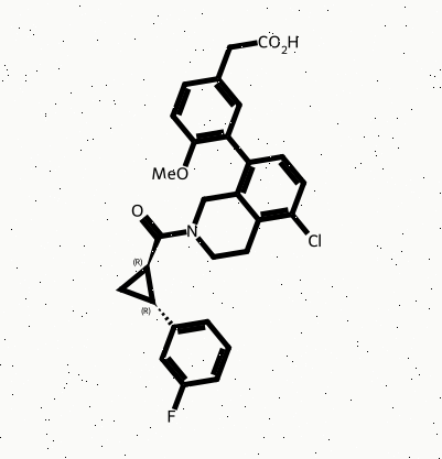 COc1ccc(CC(=O)O)cc1-c1ccc(Cl)c2c1CN(C(=O)[C@@H]1C[C@H]1c1cccc(F)c1)CC2